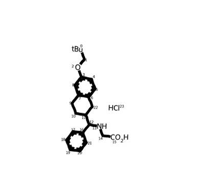 CC(C)(C)COc1ccc2c(c1)CCC(C(NCC(=O)O)c1ccccc1)C2.Cl